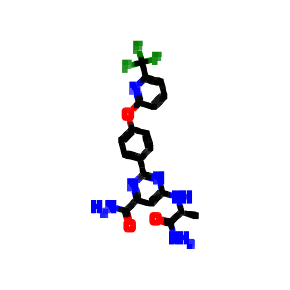 C[C@H](Nc1cc(C(N)=O)nc(-c2ccc(Oc3cccc(C(F)(F)F)n3)cc2)n1)C(N)=O